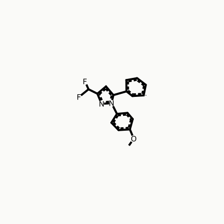 COc1ccc(-n2nc(C(F)F)cc2-c2c[c]ccc2)cc1